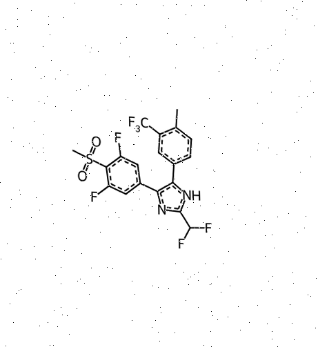 Cc1ccc(-c2[nH]c(C(F)F)nc2-c2cc(F)c(S(C)(=O)=O)c(F)c2)cc1C(F)(F)F